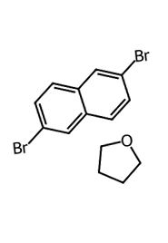 Brc1ccc2cc(Br)ccc2c1.C1CCOC1